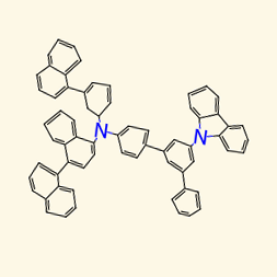 C1=CC(N(c2ccc(-c3cc(-c4ccccc4)cc(-n4c5ccccc5c5ccccc54)c3)cc2)c2ccc(-c3cccc4ccccc34)c3ccccc23)CC(c2cccc3ccccc23)=C1